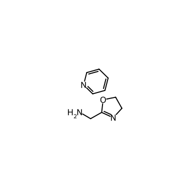 NCC1=NCCO1.c1ccncc1